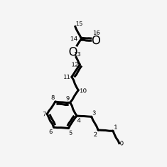 CCCCc1ccccc1CC=COC(C)=O